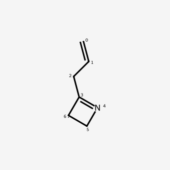 C=CCC1=NC[CH]1